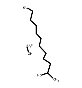 CCC(C)CCCCCCCCCC(C)O.O=S(=O)(O)O